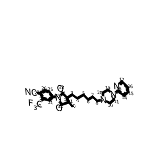 CC1=C(CCCCCCN2CCN(c3ccccn3)CC2)C(=O)N(c2ccc(C#N)c(C(F)(F)F)c2)C1=O